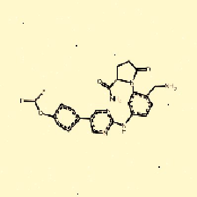 NCc1ccc(Nc2ncc(-c3ccc(OC(F)F)cc3)cn2)cc1N1C(=O)CC[C@@H]1C(N)=O